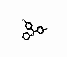 Clc1ccc(C(OC2CC[N]CC2)c2ccc(Cl)cc2)cc1